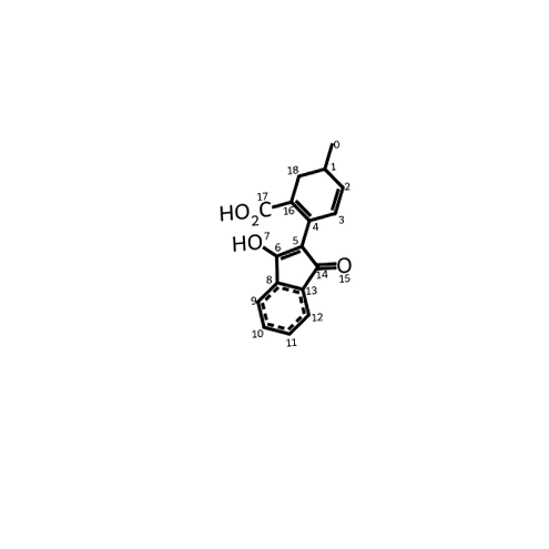 CC1C=CC(C2=C(O)c3ccccc3C2=O)=C(C(=O)O)C1